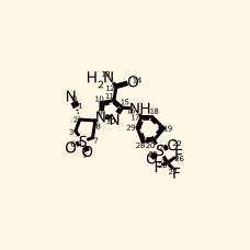 N#C[C@H]1CS(=O)(=O)C[C@@H]1n1cc(C(N)=O)c(Nc2ccc(S(=O)(=O)C(F)(F)F)cc2)n1